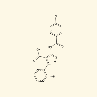 O=C(Nc1scc(-c2ccccc2Br)c1C(=O)O)c1ccc(Cl)cc1